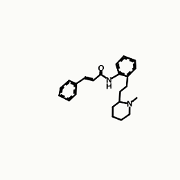 CN1CCCCC1CCc1ccccc1NC(=O)C=Cc1ccccc1